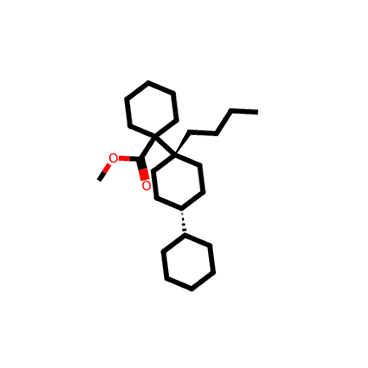 CCCC[C@]1(C2(C(=O)OC)CCCCC2)CC[C@@H](C2CCCCC2)CC1